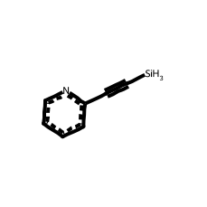 [SiH3]C#Cc1ccccn1